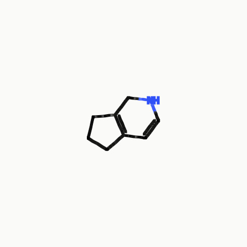 C1=CC2=C(CCC2)CN1